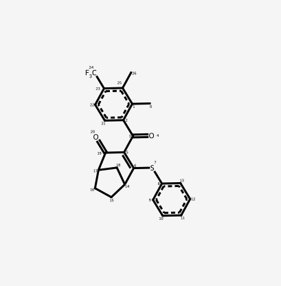 Cc1c(C(=O)C2=C(Sc3ccccc3)C3CCC(C3)C2=O)ccc(C(F)(F)F)c1C